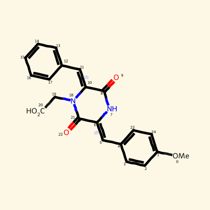 COc1ccc(/C=c2\[nH]c(=O)/c(=C/c3ccccc3)n(CC(=O)O)c2=O)cc1